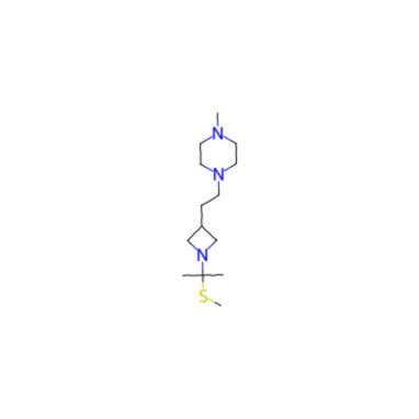 CSC(C)(C)N1CC(CCN2CCN(C)CC2)C1